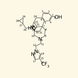 Oc1ccc2c(c1)C13CCN(CCn4cc(C(F)(F)F)cn4)CCC1(O)C(C2)N(CC1CC1)CC3